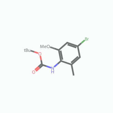 COc1cc(Br)cc(C)c1NC(=O)OC(C)(C)C